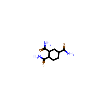 NC(=S)C1CCC(C(N)=S)C(C(N)=S)C1